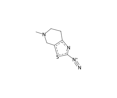 CN1CCc2nc([N+]#N)sc2C1